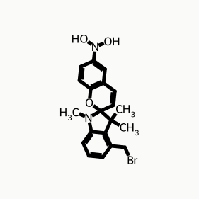 CN1c2cccc(CBr)c2C(C)(C)C12C=Cc1cc(N(O)O)ccc1O2